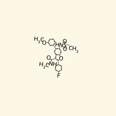 CCS(=O)(=O)Nc1cc2oc(-c3ccc(F)cc3)c(C(=O)NC)c2cc1-c1cccc(OC)c1